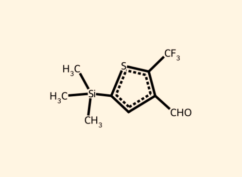 C[Si](C)(C)c1cc(C=O)c(C(F)(F)F)s1